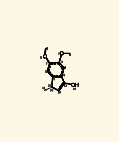 COc1cc2c(cc1OC)[C@@H](C)C=C2O